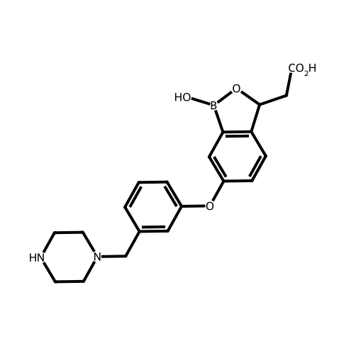 O=C(O)CC1OB(O)c2cc(Oc3cccc(CN4CCNCC4)c3)ccc21